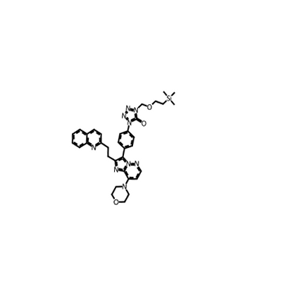 C[Si](C)(C)CCOCn1nnn(-c2ccc(-c3c(CCc4ccc5ccccc5n4)nc4c(N5CCOCC5)ccnn34)cc2)c1=O